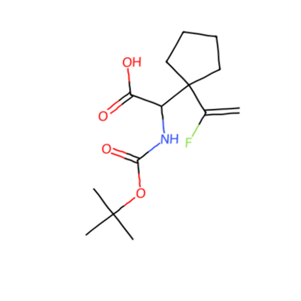 C=C(F)C1(C(NC(=O)OC(C)(C)C)C(=O)O)CCCC1